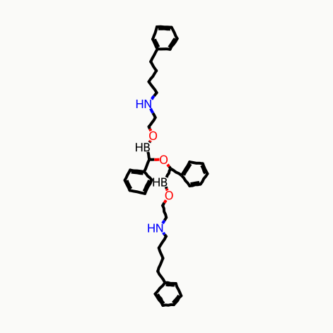 B(OCCNCCCCc1ccccc1)C(OC(BOCCNCCCCc1ccccc1)c1ccccc1)c1ccccc1